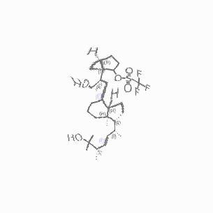 C[C@H](/C=C/[C@H](C)C(C)(C)O)[C@H]1CC[C@H]2/C(=C/[C@@H](CO)[C@]34C[C@H]3CCC4OS(=O)(=O)C(F)(F)F)CCC[C@]12C